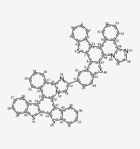 c1ccc2c(c1)sc1c3c4cc(-c5cn6c(n5)c5ccccc5c5c7c8ccccc8sc7c7sc8ccccc8c7c56)ccc4sc3c3c(c4ccccc4c4nccn43)c21